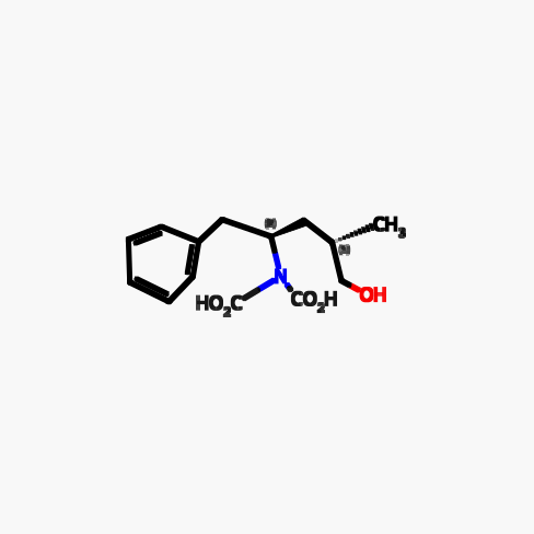 C[C@H](CO)C[C@H](Cc1ccccc1)N(C(=O)O)C(=O)O